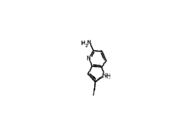 Nc1ccc2[nH]c(I)cc2n1